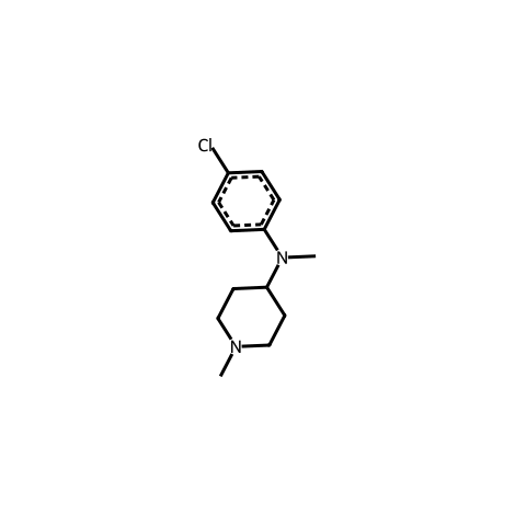 CN1CCC(N(C)c2ccc(Cl)cc2)CC1